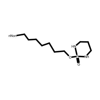 CCCCCCCCCCCCCCCCOP1(=O)NCCCN1